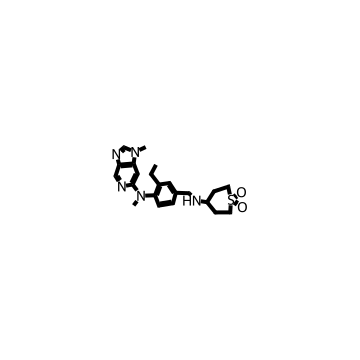 CCc1cc(CNC2CCS(=O)(=O)CC2)ccc1N(C)c1cc2c(cn1)ncn2C